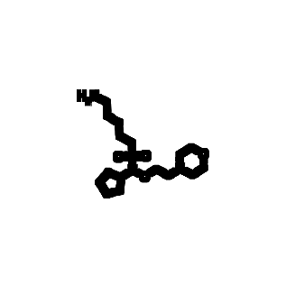 NCCCCCS(=O)(=O)N(OCCN1CCOCC1)C1CCCC1